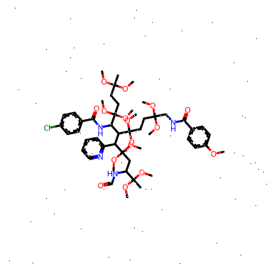 COc1ccc(C(=O)NCC(CCC(OC)(OC)C(C(NC(=O)c2ccc(Cl)cc2)C(CCC(C)(OC)OC)(OC)OC)C(c2ccccn2)C(CC(NC=O)C(C)(OC)OC)(OC)OC)(OC)OC)cc1